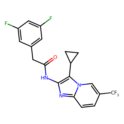 O=C(Cc1cc(F)cc(F)c1)Nc1nc2ccc(C(F)(F)F)cn2c1C1CC1